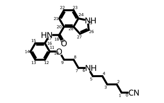 N#CCCCCCNCCCOc1ccccc1NC(=O)c1cccc2[nH]ccc12